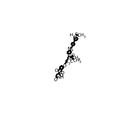 CN(C)c1ccc(-c2ccc(-c3nc4ccc(N(CCCCCOc5ccc6c(c5)C(=O)N(C5CCC(=O)NC5=O)C6=O)C(=O)OC(C)(C)C)cc4s3)cc2)cn1